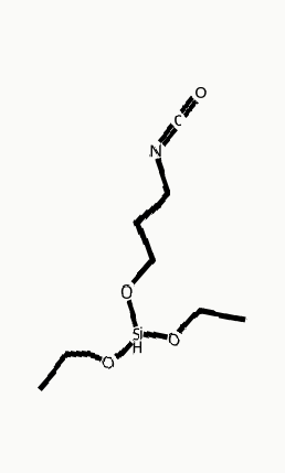 CCO[SiH](OCC)OCCCN=C=O